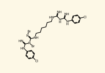 N=C(NCCCCCCNC(=NBr)N(Br)C(=N)Nc1ccc(Cl)cc1)NC(=N)Nc1ccc(Cl)cc1